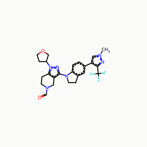 Cn1cc(-c2ccc3c(c2)CCN3c2nn(C3CCOC3)c3c2CN(C=O)CC3)c(C(F)(F)F)n1